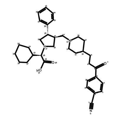 N#Cc1ccc(C(=O)CCC2CCN(C[C@H]3CN([C@@H](C(=O)O)C4CCCCC4)C[C@@H]3c3ccccc3)CC2)cc1